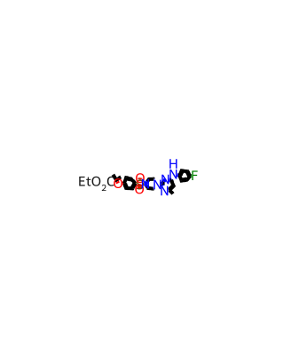 CCOC(=O)C(C)(C)Oc1ccc(S(=O)(=O)N2CCN(c3nc(C)cc(Nc4ccc(F)cc4)n3)CC2)cc1